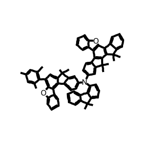 Cc1cc(C)c(-c2cc3c(c4c2oc2ccccc24)-c2ccc(N(c4ccc5c(c4)C(C)(C)c4c6c(c7oc8ccccc8c7c4-5)-c4ccccc4C6(C)C)c4cccc5c4-c4ccccc4C5(C)C)cc2C3(C)C)c(C)c1